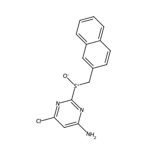 Nc1cc(Cl)nc([S+]([O-])Cc2ccc3ccccc3c2)n1